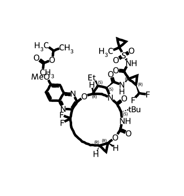 CC(=O)OC(C)C.CC[C@@H]1[C@@H]2CN(C(=O)[C@H](C(C)(C)C)NC(=O)O[C@@H]3C[C@H]3CCCCC(F)(F)c3nc4ccc(OC)cc4nc3O2)[C@@H]1C(=O)N[C@]1(C(=O)NS(=O)(=O)C2(C)CC2)C[C@H]1C(F)F